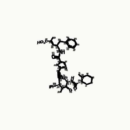 CC[C@H](C)[C@H](NC(=O)[C@H]1CCCCN1C)C(=O)N(C)[C@H](C#Cc1nc(C(=O)NC(C=C(C)C(=O)O)Cc2ccccc2)cs1)C(C)C